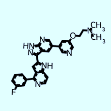 CN(C)CCOc1cncc(-c2cnc3[nH]nc(-c4cc5c(-c6cccc(F)c6)nccc5[nH]4)c3c2)c1